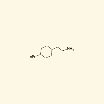 CCCC1CCC(CCN)CC1